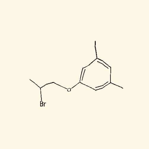 Cc1cc(C)cc(OCC(C)Br)c1